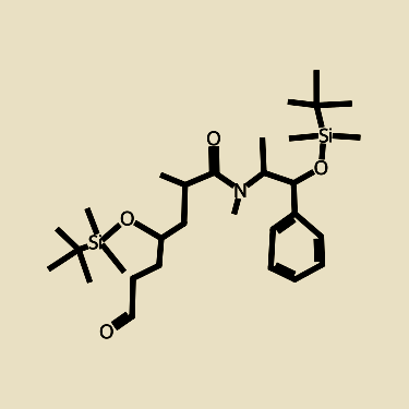 CC(CC(CCC=O)O[Si](C)(C)C(C)(C)C)C(=O)N(C)C(C)C(O[Si](C)(C)C(C)(C)C)c1ccccc1